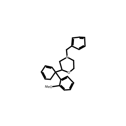 COc1ccccc1C1(C2CN(Cc3ccccc3)CCO2)[CH]C=CC=C1